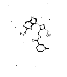 CN1C=CCC(C(=O)OC[C@@H]2[C@@H](CO)C[C@H]2n2cnc3cnc(N)nc32)=C1